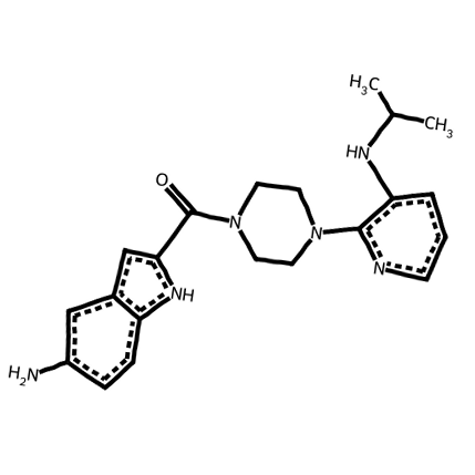 CC(C)Nc1cccnc1N1CCN(C(=O)c2cc3cc(N)ccc3[nH]2)CC1